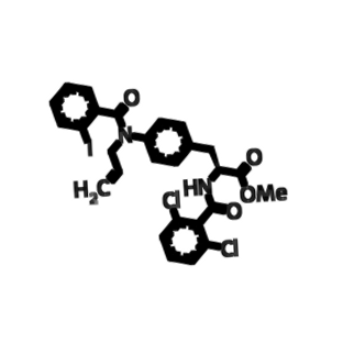 C=CCN(C(=O)c1ccccc1I)c1ccc(C[C@H](NC(=O)c2c(Cl)cccc2Cl)C(=O)OC)cc1